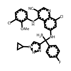 BC(Nc1cc(Cl)c2ncc(C#N)c(Nc3cccc(Cl)c3OC)c2c1)(c1ccc(F)cc1)c1cn(C2CC2)nn1